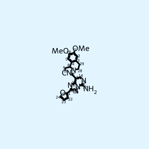 COc1cc2c(cc1OC)C(CC#N)N(Cc1cnc(N)n3nc(-c4ccco4)nc13)CC2